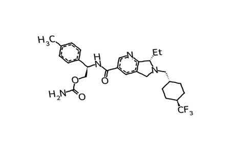 CC[C@H]1c2ncc(C(=O)N[C@@H](COC(N)=O)c3ccc(C)cc3)cc2CN1C[C@H]1CC[C@H](C(F)(F)F)CC1